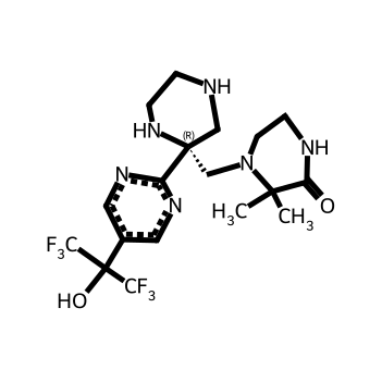 CC1(C)C(=O)NCCN1C[C@@]1(c2ncc(C(O)(C(F)(F)F)C(F)(F)F)cn2)CNCCN1